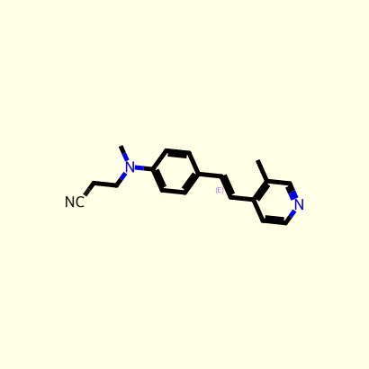 Cc1cnccc1/C=C/c1ccc(N(C)CCC#N)cc1